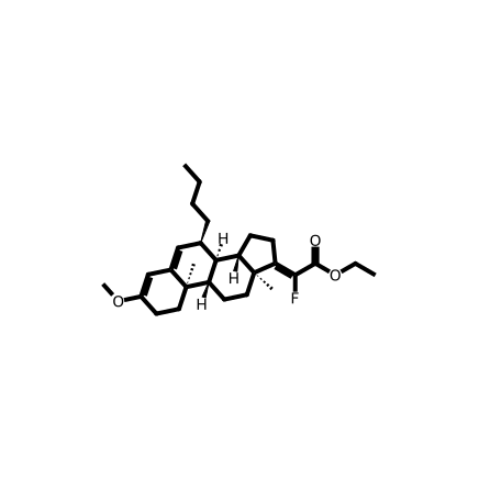 CCCC[C@@H]1C=C2C=C(OC)CC[C@]2(C)[C@H]2CC[C@]3(C)C(=C(F)C(=O)OCC)CC[C@H]3[C@H]12